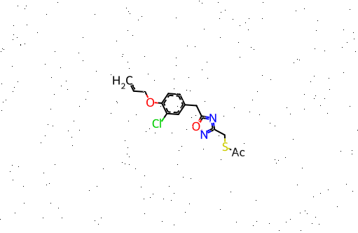 C=CCOc1ccc(Cc2nc(CSC(C)=O)no2)cc1Cl